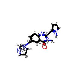 Cn1cccc1-c1nc2ccc(N3CCN4CCC3CC4)cc2c(=O)n1C